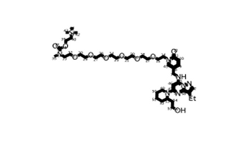 CCc1cnn2c(NCc3ccc(=O)n(CCOCCOCCOCCOCCOCCOCCN(C)C(=O)OCC[Si](C)(C)C)c3)cc(N3CCCCC3CCO)nc12